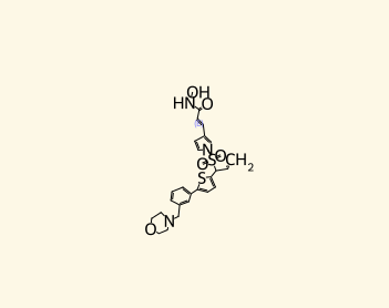 C=CC(c1ccc(-c2cccc(CN3CCOCC3)c2)s1)S(=O)(=O)n1ccc(/C=C/C(=O)NO)c1